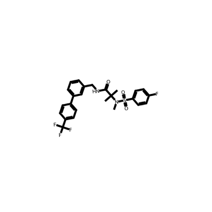 CN(C(C)(C)C(=O)NCc1cccc(-c2ccc(C(F)(F)F)cc2)c1)S(=O)(=O)c1ccc(F)cc1